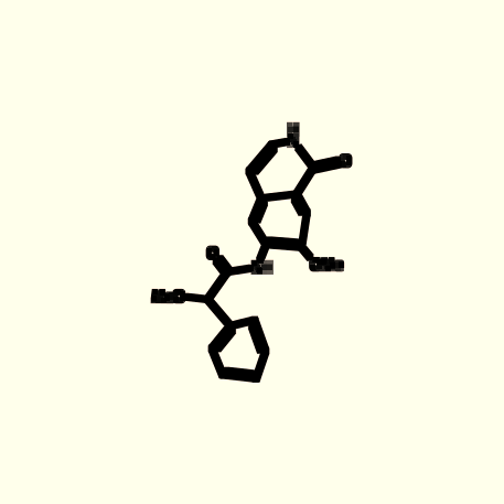 COc1cc2c(=O)[nH]ccc2cc1NC(=O)C(OC)c1ccccc1